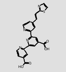 O=C(O)c1ccnc(-c2cc(C(=O)O)cc(-c3cc(/C=C/c4nccs4)ccn3)n2)c1